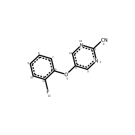 N#Cc1ncc(Oc2ccccc2F)cn1